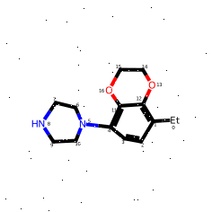 CCc1ccc(N2CCNCC2)c2c1OCCO2